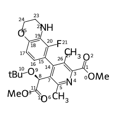 COC(=O)c1nc(C)c([C@H](OC(C)(C)C)C(=O)OC)c(-c2ccc3c(c2F)NCCO3)c1C